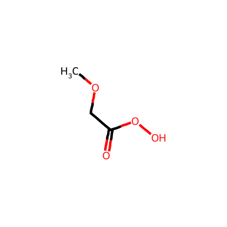 COCC(=O)OO